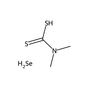 CN(C)C(=S)S.[SeH2]